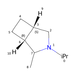 CC(C)N1C[C@H]2CC[C@H]2C1C